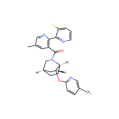 Cc1cnc(-c2ncccc2F)c(C(=O)N2C[C@@H]3CC[C@H]2[C@H](Oc2ccc(C(F)(F)F)cn2)C3)c1